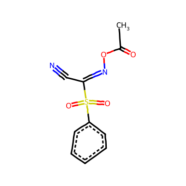 CC(=O)ON=C(C#N)S(=O)(=O)c1ccccc1